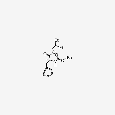 CCC(CC)COC(=O)[C@H](Cc1ccccc1)NC(=O)OC(C)(C)C